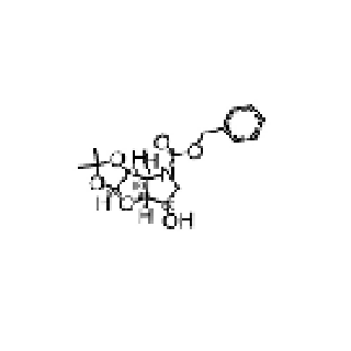 CC1(C)O[C@@H]2O[C@@H]3[C@H]([C@@H]2O1)N(C(=O)OCc1ccccc1)C[C@H]3O